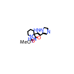 COC(=O)N1CCCCC1(C(N)=O)C1=CC2=CN=CCN2N1